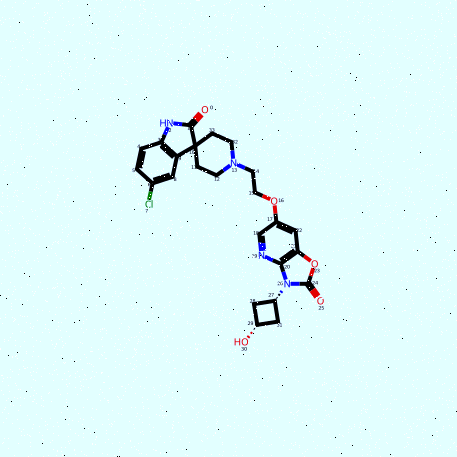 O=C1Nc2ccc(Cl)cc2C12CCN(CCOc1cnc3c(c1)oc(=O)n3[C@H]1C[C@@H](O)C1)CC2